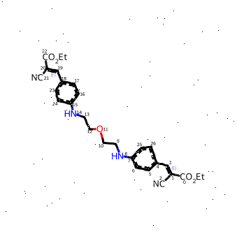 CCOC(=O)/C(C#N)=C/c1ccc(NCCOCCNc2ccc(/C=C(\C#N)C(=O)OCC)cc2)cc1